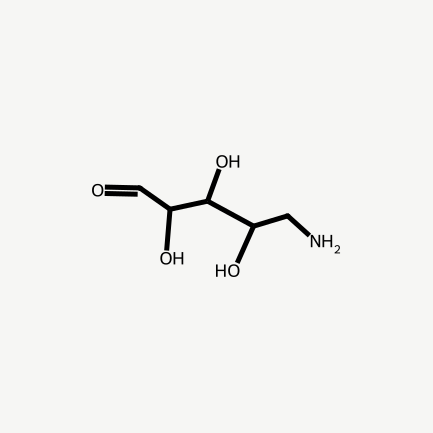 NCC(O)C(O)C(O)C=O